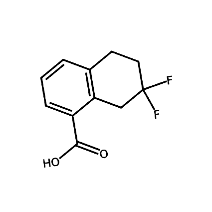 O=C(O)c1cccc2c1CC(F)(F)CC2